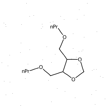 CCCOCC1OCOC1COCCC